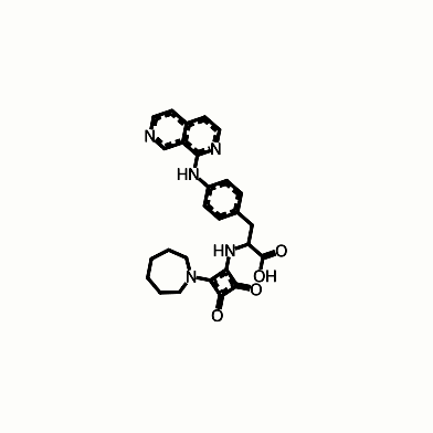 O=C(O)C(Cc1ccc(Nc2nccc3ccncc23)cc1)Nc1c(N2CCCCCC2)c(=O)c1=O